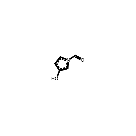 O=Cn1ccc(O)c1